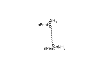 CCCCCC(c1ccc(N)cc1)c1ccc(CCCCCCCCCCCCCCCCc2ccc(C(CCCCC)c3ccc(N)cc3)cc2)cc1